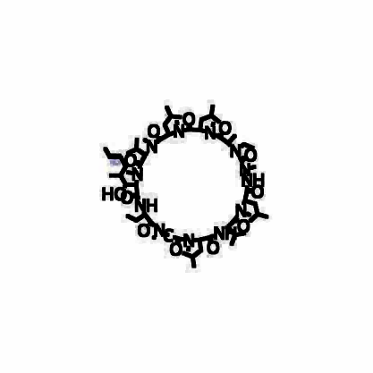 C/C=C/CC(C)C(O)C1C(=O)NC(CC)C(=O)N(C)CC(=O)N(C)C(CC(C)C)C(=O)NC(C(C)C)C(=O)N(C)C(CC(C)C)C(=O)NN(C)C(=O)N(CC)C(C)C(=O)N(C)C(CC(C)C)C(=O)N(C)C(CC(C)C)C(=O)N(C)C(C(C)C)C(=O)N1C